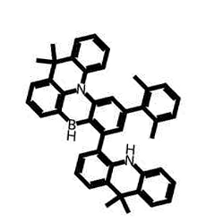 Cc1cccc(C)c1-c1cc(-c2cccc3c2Nc2ccccc2C3(C)C)c2c(c1)N1c3ccccc3C(C)(C)c3cccc(c31)B2